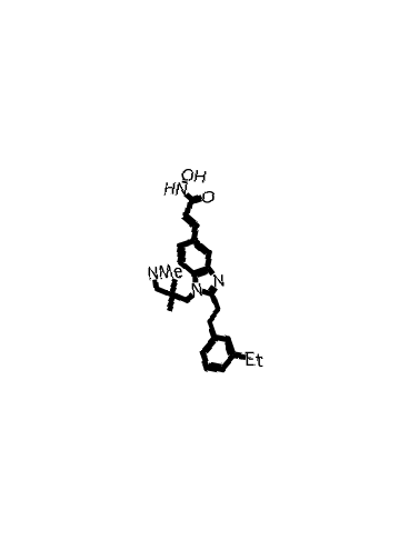 CCc1cccc(CCc2nc3cc(/C=C/C(=O)NO)ccc3n2CC(C)(C)CNC)c1